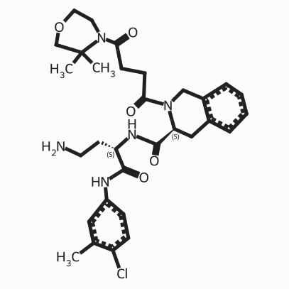 Cc1cc(NC(=O)[C@H](CCN)NC(=O)[C@@H]2Cc3ccccc3CN2C(=O)CCC(=O)N2CCOCC2(C)C)ccc1Cl